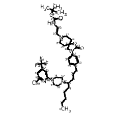 CCCCCC(CCCc1ccc(N2CC3(CCN(CCNC(=O)OC(C)(C)C)CC3)OC2=O)cc1)N1CCN(c2cc(C(F)(F)F)cc(Cl)n2)CC1